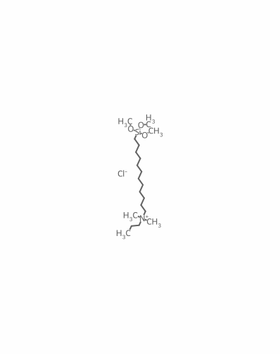 CCC[N+](C)(C)CCCCCCCCCCCC[Si](OC)(OC)OC.[Cl-]